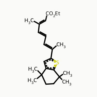 CCOC(=O)C=C(C)C=CC=C(C)c1cc2c(s1)C(C)(C)CCC2(C)C